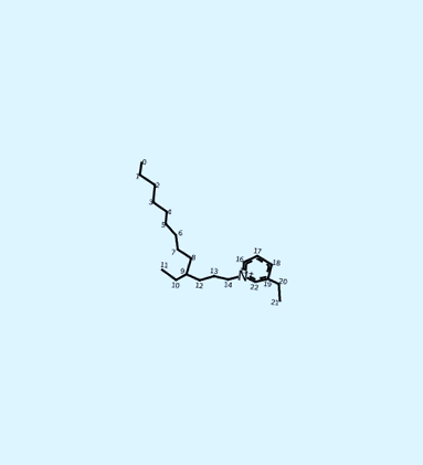 CCCCCCCCCC(CC)CCC[n+]1cccc(CC)c1